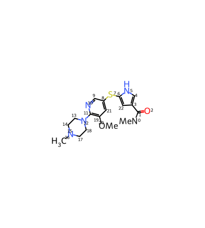 CNC(=O)c1c[nH]c(Sc2cnc(N3CCN(C)CC3)c(OC)c2)c1